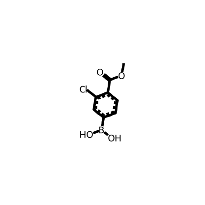 COC(=O)c1ccc(B(O)O)cc1Cl